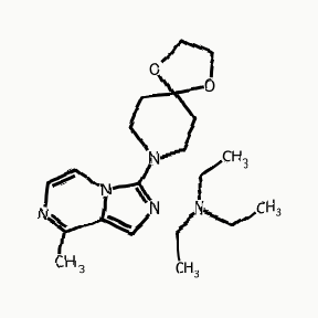 CCN(CC)CC.Cc1nccn2c(N3CCC4(CC3)OCCO4)ncc12